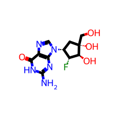 Nc1nc2c(ncn2[C@@H]2C[C@@](O)(CO)[C@@H](O)[C@@H]2F)c(=O)[nH]1